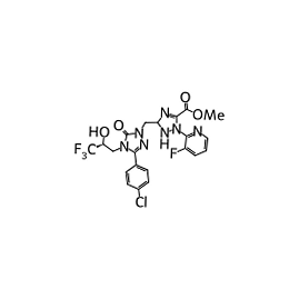 COC(=O)C1=NC(Cn2nc(-c3ccc(Cl)cc3)n(C[C@H](O)C(F)(F)F)c2=O)NN1c1ncccc1F